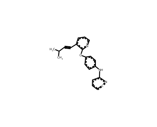 CC(C)C#Cc1cccnc1Oc1ccc(Nc2ccccn2)cc1